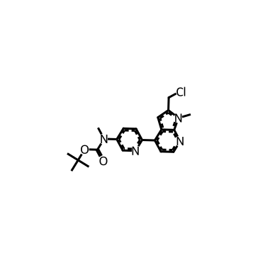 CN(C(=O)OC(C)(C)C)c1ccc(-c2ccnc3c2cc(CCl)n3C)nc1